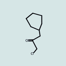 O=C(CCl)CC1CCCCC1